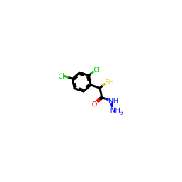 NNC(=O)C(S)c1ccc(Cl)cc1Cl